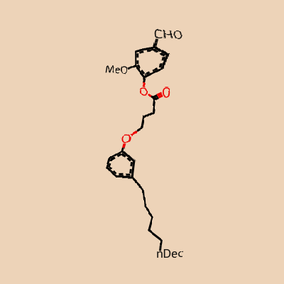 CCCCCCCCCCCCCCCc1cccc(OCCCC(=O)Oc2ccc(C=O)cc2OC)c1